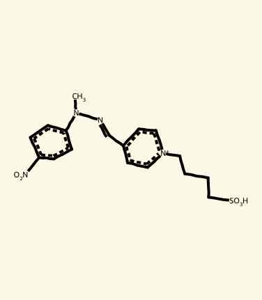 CN(N=Cc1cc[n+](CCCCS(=O)(=O)O)cc1)c1ccc([N+](=O)[O-])cc1